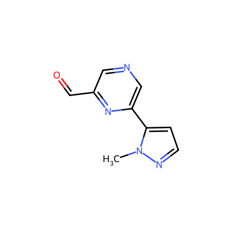 Cn1nccc1-c1cncc(C=O)n1